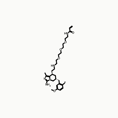 C=CC(=O)NCCOCCOCCOCCNCC[C@H]1C[C@H](Cc2cc(OC)ccc2F)Cn2c(N)nc(C)c21